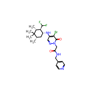 C[C@@H]1[C@@H](C(F)F)[C@H](Nc2cnn(CC(=O)NCc3ccncc3)c(=O)c2Br)C[C@H](C)C1(C)C